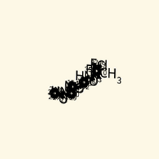 Cc1c(F)c(C(=O)Nc2ccc(Oc3ccnc4c(NC(=O)c5ccccc5)cccc34)cc2)c(F)c(F)c1Cl